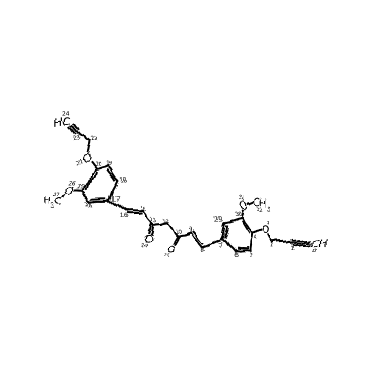 C#CCOc1ccc(/C=C/C(=O)CC(=O)/C=C/c2ccc(OCC#C)c(OC)c2)cc1OC